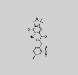 CN1Cn2c(nc(C(=O)NCc3ccc(F)cc3S(C)(=O)=O)c(O)c2=O)C1(C)C